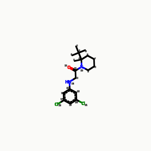 CC(C)(C)C1(C)CCCCN1C(=O)CNc1cc(Cl)cc(Cl)c1